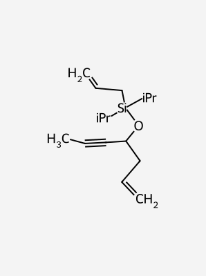 C=CCC(C#CC)O[Si](CC=C)(C(C)C)C(C)C